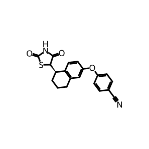 N#Cc1ccc(Oc2ccc3c(c2)CCC[C@H]3C2SC(=O)NC2=O)cc1